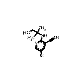 C#Cc1cc(Br)cnc1NC(C)(C)CO